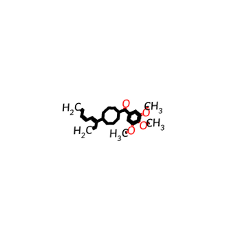 C=C/C=C\C=C(/C=C)C1CCCC(C(=O)c2cc(OC)c(OC)c(OC)c2)CCC1